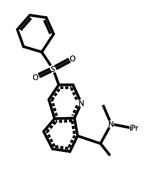 CC(C)N(C)C(C)c1cccc2cc(S(=O)(=O)C3C=CC=CC3)cnc12